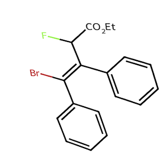 CCOC(=O)C(F)C(=C(Br)c1ccccc1)c1ccccc1